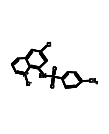 Cc1ccc(S(=O)(=O)Nc2cc(Cl)cc3ccc[n+]([O-])c23)cc1